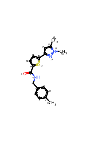 Cc1ccc(CNC(=O)c2ccc(-c3cc(C(F)(F)F)n(C)n3)s2)cc1